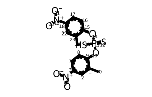 Cc1cc([N+](=O)[O-])ccc1OP(=S)(S)Oc1ccc([N+](=O)[O-])cc1C